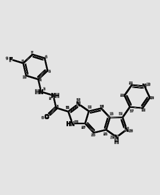 O=C(NNc1cccc(F)c1)c1nc2cc3c(-c4ccncc4)n[nH]c3cc2[nH]1